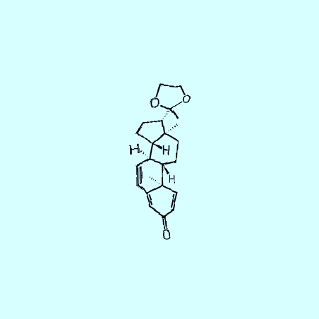 CC1([C@H]2CC[C@H]3[C@@H]4C=CC5=CC(=O)C=C[C@]5(C)[C@H]4CC[C@]23C)OCCO1